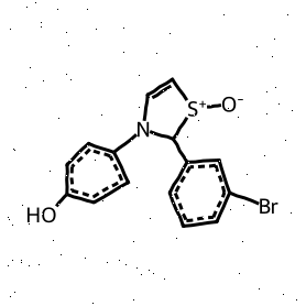 [O-][S+]1C=CN(c2ccc(O)cc2)C1c1cccc(Br)c1